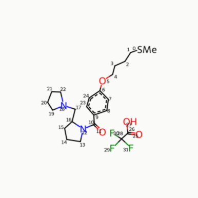 CSCCCCOc1ccc(C(=O)N2CCCC2CN2CCCC2)cc1.O=C(O)C(F)(F)F